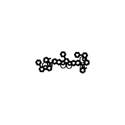 Cc1ccccc1N(c1ccc2cc3c(cc2c1)oc1c3cc(-c2ccccc2)c2c3cc4ccc(N(c5ccccc5C)c5cccc6c5oc5c(-c7ccccc7)cccc56)cc4cc3oc12)c1cccc2c1oc1c(-c3ccccc3)cccc12